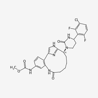 COC(=O)Nc1ccc2c(c1)NC(=O)CCCC[C@H](N1CCC(c3c(F)ccc(Cl)c3F)NC1=O)c1nc-2c[nH]1